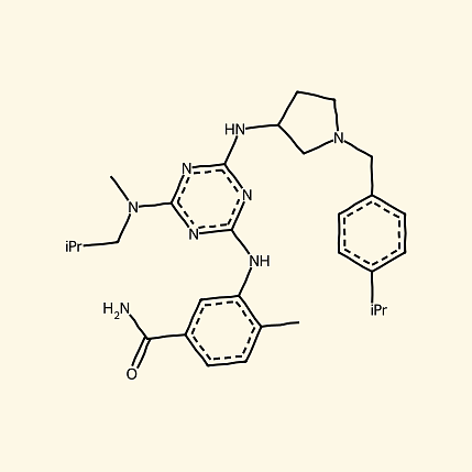 Cc1ccc(C(N)=O)cc1Nc1nc(NC2CCN(Cc3ccc(C(C)C)cc3)C2)nc(N(C)CC(C)C)n1